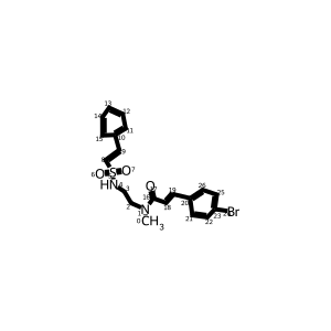 CN(CCNS(=O)(=O)C=Cc1ccccc1)C(=O)C=Cc1ccc(Br)cc1